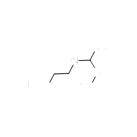 CCCCC(NCCC(=O)O)OC(C)(C)C